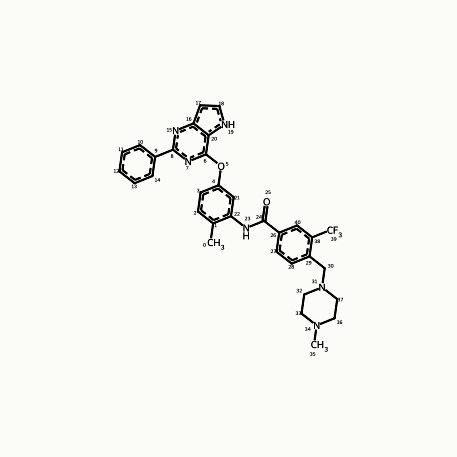 Cc1ccc(Oc2nc(-c3ccccc3)nc3cc[nH]c23)cc1NC(=O)c1ccc(CN2CCN(C)CC2)c(C(F)(F)F)c1